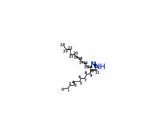 CCCCCCCCCCc1c[nH]nc1CCCCCCCCCC